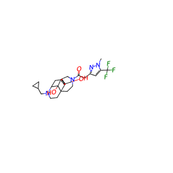 Cn1nc(CC(=O)N2CCC34CCN(CC5CC5)C(Cc5ccc(O)cc53)C4(O)CC2)cc1C(F)(F)F